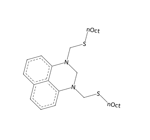 CCCCCCCCSCN1CN(CSCCCCCCCC)c2cccc3cccc1c23